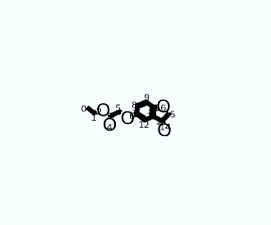 CCOC(=O)COc1ccc2c(c1)C(=O)CO2